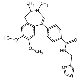 COc1cc2c(cc1OC)C(c1ccc(C(=O)NCc3ccco3)cc1)=CN(C)C(C)C2